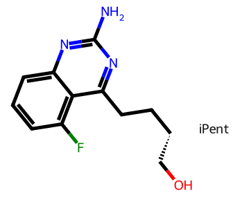 CCC[C@H](C)[C@H](CO)CCc1nc(N)nc2cccc(F)c12